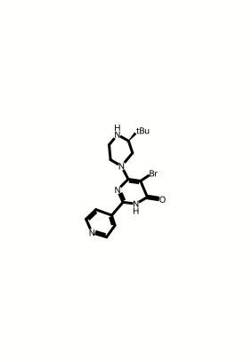 CC(C)(C)[C@H]1CN(c2nc(-c3ccncc3)[nH]c(=O)c2Br)CCN1